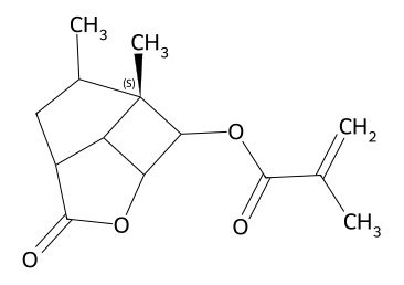 C=C(C)C(=O)OC1C2OC(=O)C3CC(C)[C@@]1(C)C32